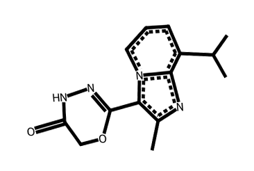 Cc1nc2c(C(C)C)cccn2c1C1=NNC(=O)CO1